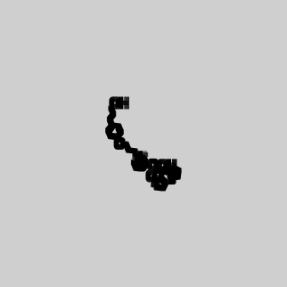 O=C(OC1C[N+]2(CCCOc3ccc(CCCO)cc3)CCC1CC2)C(O)(c1cccs1)c1cccs1